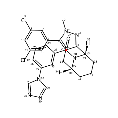 Cn1nc2c(c1-c1cc(Cl)cc(Cl)c1)C[C@H]1CCC[C@@H]2N1C(=O)c1cccc(-n2cnnc2)c1